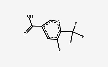 O=C(O)c1cnc(C(F)(F)F)c(F)c1